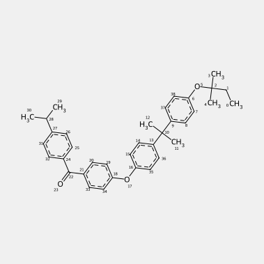 CCC(C)(C)Oc1ccc(C(C)(C)c2ccc(Oc3ccc(C(=O)c4ccc(C(C)C)cc4)cc3)cc2)cc1